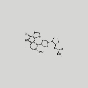 COc1cc(C)c2[nH]c(=O)c3scnc3c2c1-c1ccc(C2CCCC2OC(N)=O)cc1